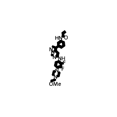 C=CC(=O)Nc1cccc(-c2cnn3cnc(Nc4ccc(N5CCN(CCOC)CC5)c(F)c4F)cc23)c1